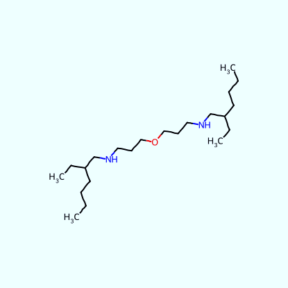 CCCCC(CC)CNCCCOCCCNCC(CC)CCCC